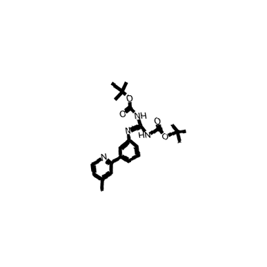 Cc1ccnc(-c2cccc(N=C(NC(=O)OC(C)(C)C)NC(=O)OC(C)(C)C)c2)c1